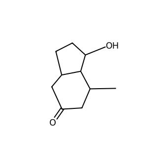 CC1CC(=O)CC2CCC(O)C12